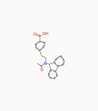 CC(=O)N(CCc1ccc(C(=O)O)cc1)C1c2ccccc2-c2ccccc21